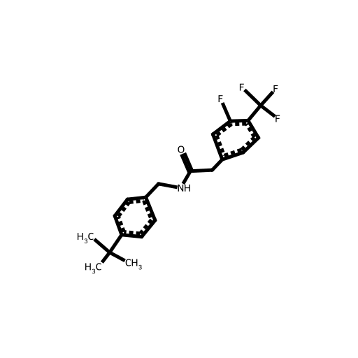 CC(C)(C)c1ccc(CNC(=O)Cc2ccc(C(F)(F)F)c(F)c2)cc1